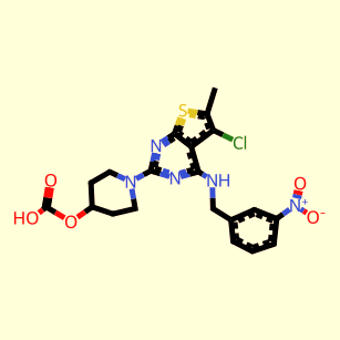 Cc1sc2nc(N3CCC(OC(=O)O)CC3)nc(NCc3cccc([N+](=O)[O-])c3)c2c1Cl